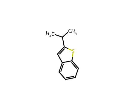 CC(C)c1cc2ccccc2s1